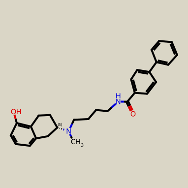 CN(CCCCNC(=O)c1ccc(-c2ccccc2)cc1)[C@H]1CCc2c(O)cccc2C1